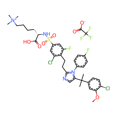 COc1cc(C(C)(C)c2cnc(CCc3c(F)cc(S(=O)(=O)N[C@@H](CCCC[N+](C)(C)C)C(=O)O)cc3Cl)n2-c2ccc(F)cc2)ccc1Cl.O=C([O-])C(F)(F)F